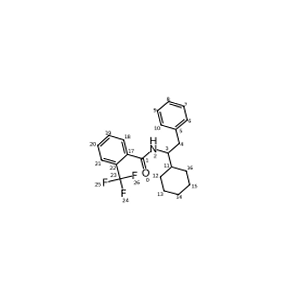 O=C(NC(Cc1ccccc1)C1CCCCC1)c1ccccc1C(F)(F)F